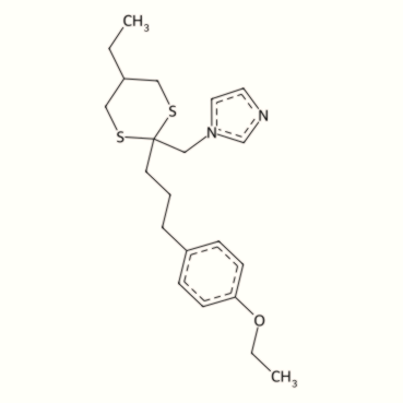 CCOc1ccc(CCCC2(Cn3ccnc3)SCC(CC)CS2)cc1